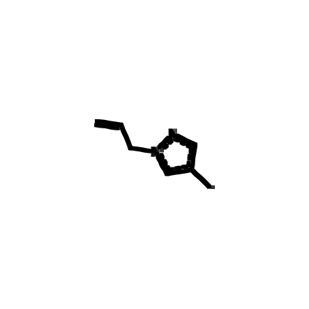 [CH2]c1cnn(CC=C)c1